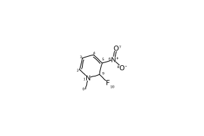 CN1C=CC=C([N+](=O)[O-])C1F